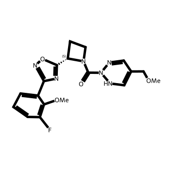 COCC1=CNN(C(=O)N2CC[C@H]2c2nc(-c3cccc(F)c3OC)no2)N=C1